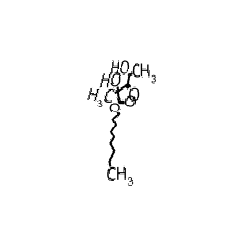 CCCCCCCCCOC(=O)C(C)(O)C(=O)C(C)O